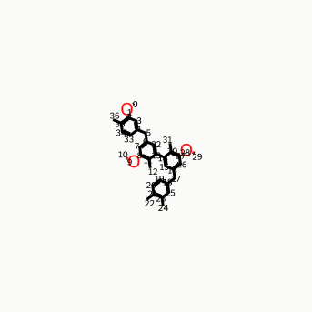 COc1cc(Cc2cc(OC)c(C)c(-c3cc(Cc4ccc(C)c(C)c4)cc(OC)c3C)c2)ccc1C